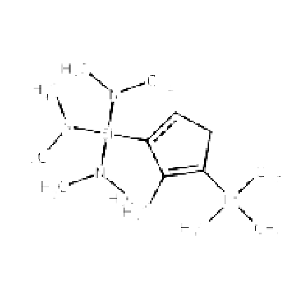 CC1=[C]([Pt]([CH3])([CH3])[CH3])CC=C1[Si](N(C)C)(N(C)C)N(C)C